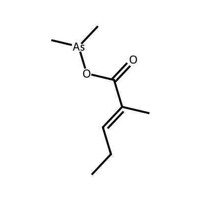 CC/C=C(\C)C(=O)O[As](C)C